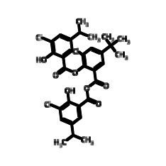 CC(C)c1cc(Cl)c(O)c(C(=O)OC(=O)c2cc(C(C)(C)C)cc(Cl)c2OC(=O)c2cc(C(C)C)cc(Cl)c2O)c1